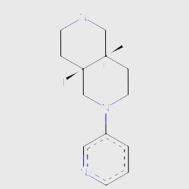 c1cncc(N2CC[C@H]3CNCC[C@H]3C2)c1